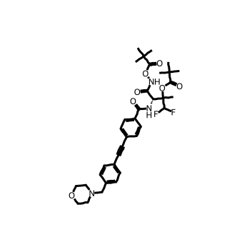 CC(C)(C)C(=O)ONC(=O)[C@@H](NC(=O)c1ccc(C#Cc2ccc(CN3CCOCC3)cc2)cc1)C(C)(OC(=O)C(C)(C)C)C(F)F